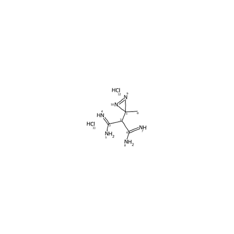 CC1(C(C(=N)N)C(=N)N)N=N1.Cl.Cl